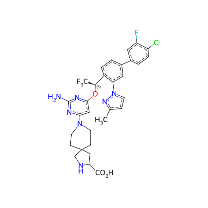 Cc1ccn(-c2cc(-c3ccc(Cl)c(F)c3)ccc2[C@@H](Oc2cc(N3CCC4(CC3)CNC(C(=O)O)C4)nc(N)n2)C(F)(F)F)n1